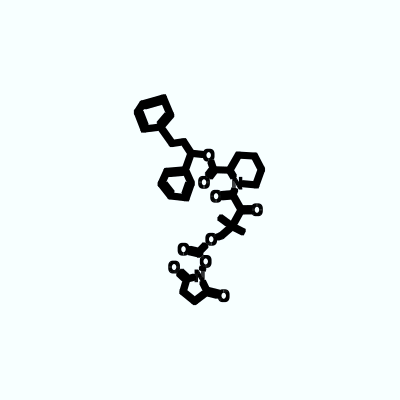 CC(C)(COC(=O)ON1C(=O)CCC1=O)C(=O)C(=O)N1CCCCC1C(=O)OC(CCc1ccccc1)c1ccccc1